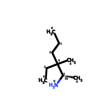 CCCC(C)(CC)[C@H](C)N